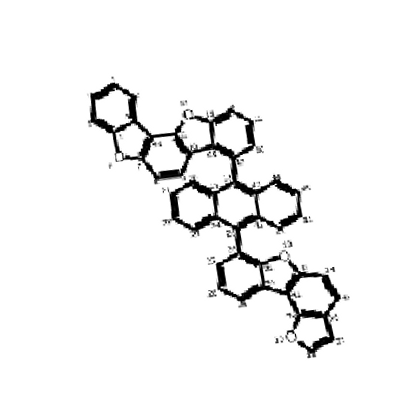 c1ccc2c(c1)oc1ccc3c(oc4cccc(-c5c6ccccc6c(-c6cccc7c6oc6ccc8ccoc8c67)c6ccccc56)c43)c12